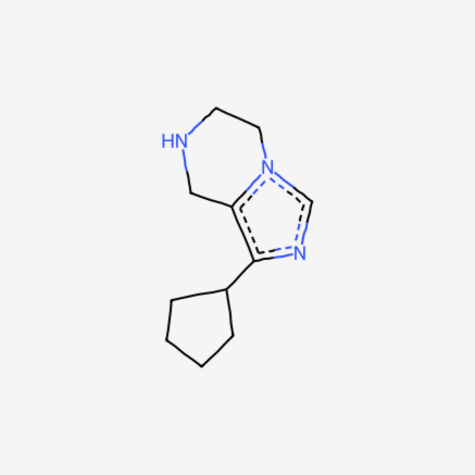 c1nc(C2CCCC2)c2n1CCNC2